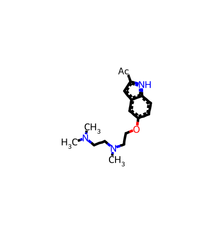 CC(=O)c1cc2cc(OCCN(C)CCN(C)C)ccc2[nH]1